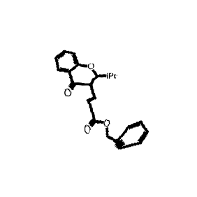 CC(C)C1Oc2ccccc2C(=O)C1CCC(=O)OCc1ccccc1